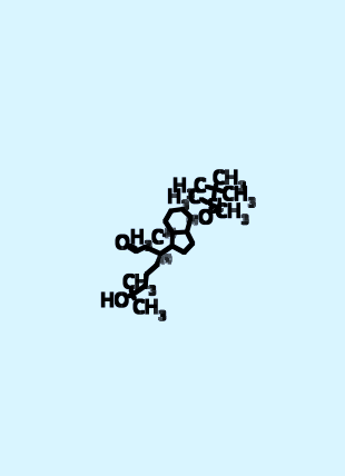 CC(C)(O)CCC[C@@H](CC=O)C1CCC2[C@@H](O[Si](C)(C)C(C)(C)C)CCC[C@]12C